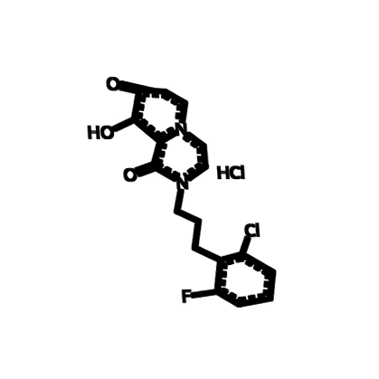 Cl.O=c1ccn2ccn(CCCc3c(F)cccc3Cl)c(=O)c2c1O